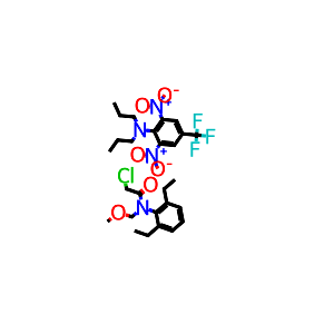 CCCN(CCC)c1c([N+](=O)[O-])cc(C(F)(F)F)cc1[N+](=O)[O-].CCc1cccc(CC)c1N(COC)C(=O)CCl